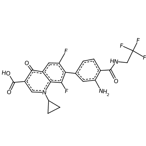 Nc1cc(-c2c(F)cc3c(=O)c(C(=O)O)cn(C4CC4)c3c2F)ccc1C(=O)NCC(F)(F)F